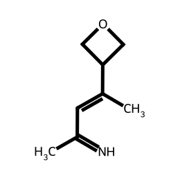 CC(=N)/C=C(\C)C1COC1